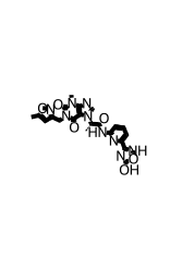 Cc1cc(Cn2c(=O)c3c(ncn3[C@@H](C)C(=O)Nc3cccc(C4=NC(O)ON4)n3)n(C)c2=O)no1